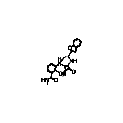 CC[C@@H](Nc1c(Nc2cccc(C(=O)NC)c2O)c(=O)c1=O)c1cc2ccccc2o1